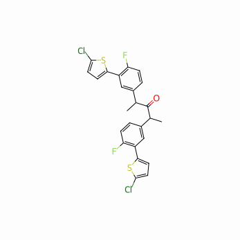 CC(C(=O)C(C)c1ccc(F)c(-c2ccc(Cl)s2)c1)c1ccc(F)c(-c2ccc(Cl)s2)c1